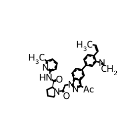 C=Nc1cc(-c2ccc3c(c2)c(C(C)=O)nn3CC(=O)N2CCC[C@H]2C(=O)Nc2cccc(C)n2)ccc1/C=C\C